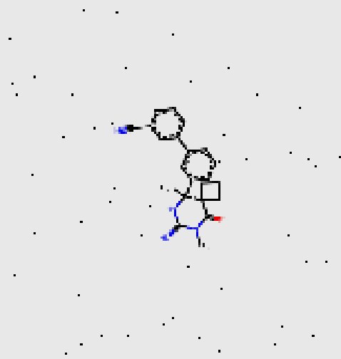 CN1C(=N)NC(C)(c2cccc(-c3cccc(C#N)c3)c2)C2(CCC2)C1=O